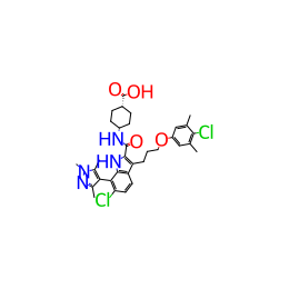 Cc1cc(OCCCc2c(C(=O)N[C@H]3CC[C@@H](C(=O)O)CC3)[nH]c3c(-c4c(C)nn(C)c4C)c(Cl)ccc23)cc(C)c1Cl